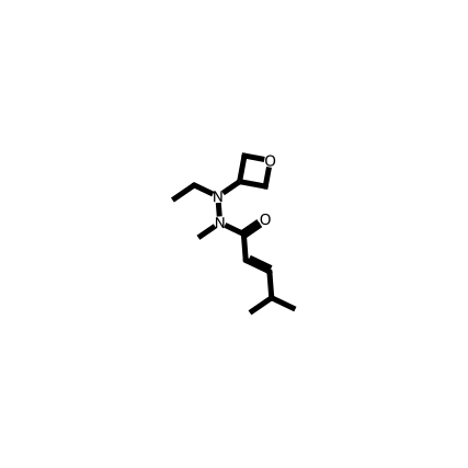 CCN(C1COC1)N(C)C(=O)C=CC(C)C